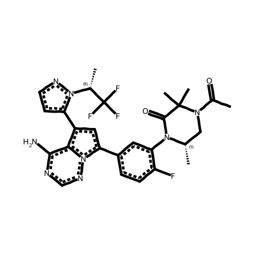 CC(=O)N1C[C@H](C)N(c2cc(-c3cc(-c4ccnn4[C@H](C)C(F)(F)F)c4c(N)ncnn34)ccc2F)C(=O)C1(C)C